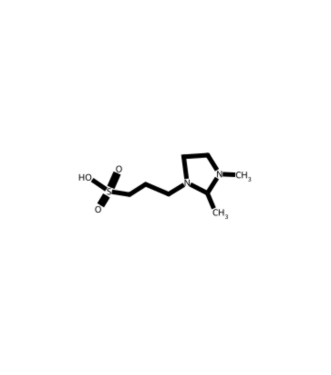 CC1N(C)CCN1CCCS(=O)(=O)O